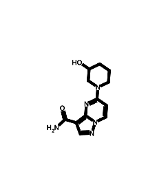 NC(=O)c1cnn2ccc(N3CCCC(O)C3)nc12